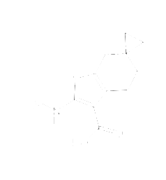 CNc1sc2c(c1C(=O)O)CCC1(CC1)C2